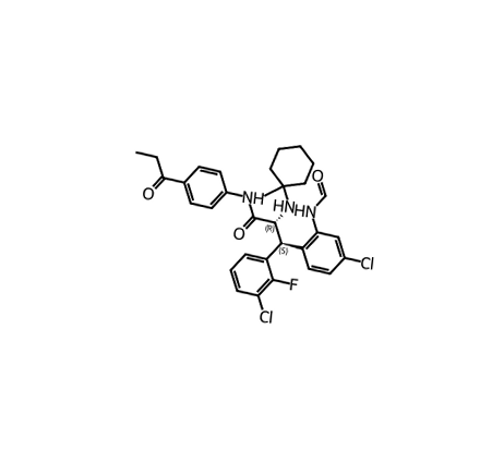 CCC(=O)c1ccc(NC(=O)[C@H](NC2(C)CCCCC2)[C@@H](c2ccc(Cl)cc2NC=O)c2cccc(Cl)c2F)cc1